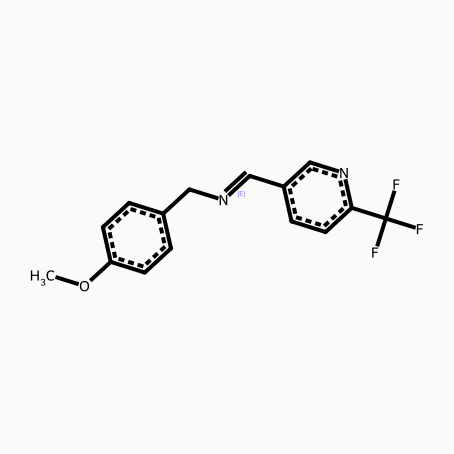 COc1ccc(C/N=C/c2ccc(C(F)(F)F)nc2)cc1